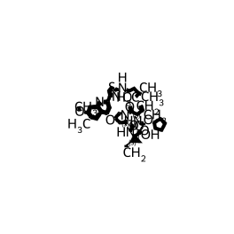 C=C[C@@H]1C[C@]1(NC(=O)[C@@H]1CC(Oc2cc(-c3csc(NC(=O)CC(C)(C)C)n3)nc3cc(OC)c(C)cc23)CN1C(=O)[C@@H](NC(=O)OC1CCCC1)C(=C)C)C(=O)O